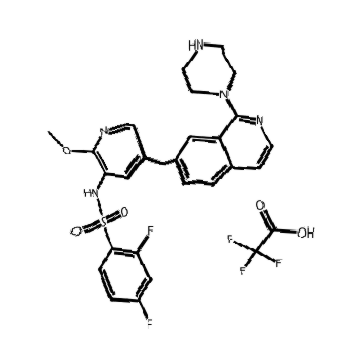 COc1ncc(-c2ccc3ccnc(N4CCNCC4)c3c2)cc1NS(=O)(=O)c1ccc(F)cc1F.O=C(O)C(F)(F)F